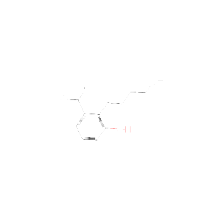 CCCCCc1c(O)cccc1C(C)C